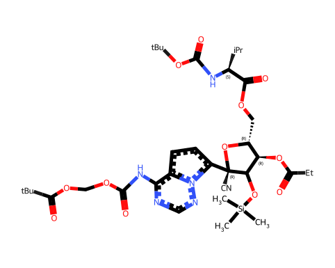 CCC(=O)O[C@H]1C(O[Si](C)(C)C)[C@](C#N)(c2ccc3c(NC(=O)OCOC(=O)C(C)(C)C)ncnn23)O[C@@H]1COC(=O)[C@@H](NC(=O)OC(C)(C)C)C(C)C